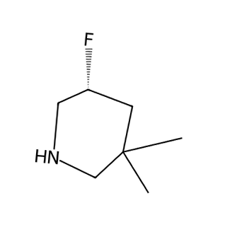 CC1(C)CNC[C@H](F)C1